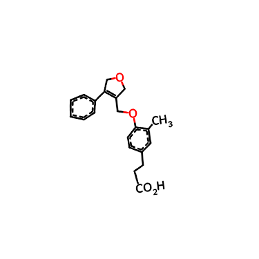 Cc1cc(CCC(=O)O)ccc1OCC1=C(c2ccccc2)COC1